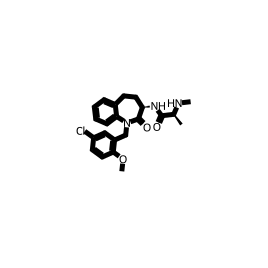 CN[C@@H](C)C(=O)N[C@H]1CCc2ccccc2N(Cc2cc(Cl)ccc2OC)C1=O